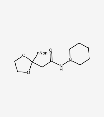 CCCCCCCCCC1(CC(=O)NN2CCCCC2)OCCO1